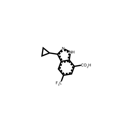 O=C(O)c1cc(C(F)(F)F)cc2c(C3CC3)n[nH]c12